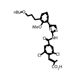 CCCCOCCCc1cccc(-c2csc(NC(=O)c3cc(Cl)c(/C=C(\C)C(=O)O)c(Cl)c3)n2)c1OC